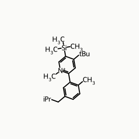 Cc1ccc(CC(C)C)cc1-c1cc(C(C)(C)C)c([Si](C)(C)C)c[n+]1C